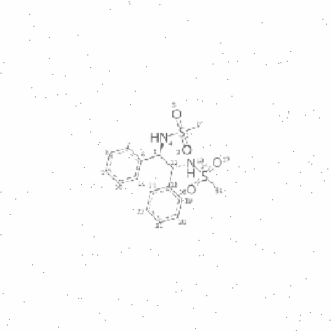 CS(=O)(=O)N[C@H](c1ccccc1)[C@H](NS(C)(=O)=O)c1ccccc1